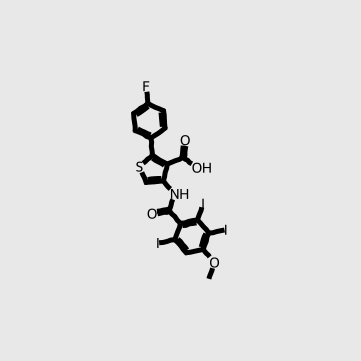 COc1cc(I)c(C(=O)Nc2csc(-c3ccc(F)cc3)c2C(=O)O)c(I)c1I